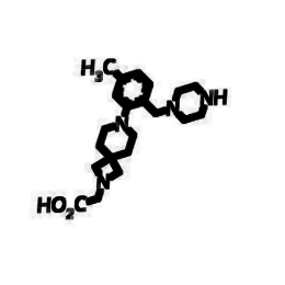 Cc1ccc(CN2CCNCC2)c(N2CCC3(CC2)CN(CC(=O)O)C3)c1